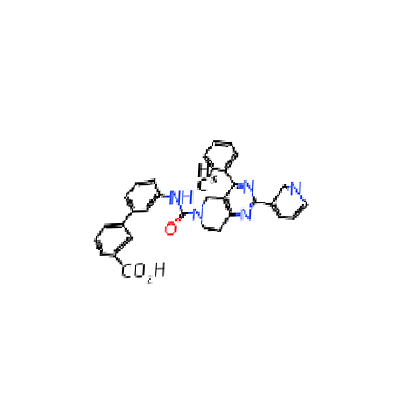 Cc1ccccc1-c1nc(-c2cccnc2)nc2c1CN(C(=O)Nc1cccc(-c3cccc(C(=O)O)c3)c1)CC2